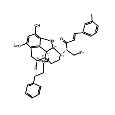 CC(=O)Oc1cc(O)c2c3c1C[C@@H]1[C@@H]4CC[C@@H](N(CC(C)C)C(=O)C=Cc5cccc(C)c5)[C@H](O2)[C@]34CCN1CCc1ccccc1